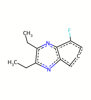 CCc1nc2cccc(F)c2nc1CC